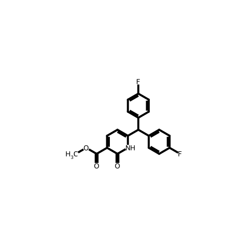 COC(=O)c1ccc(C(c2ccc(F)cc2)c2ccc(F)cc2)[nH]c1=O